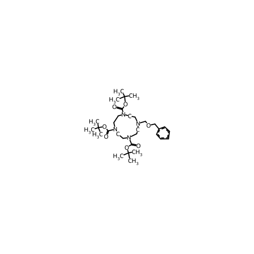 CC(C)(C)OC(=O)N1CCN(COCc2ccccc2)CCN(C(=O)OC(C)(C)C)CCN(C(=O)OC(C)(C)C)CC1